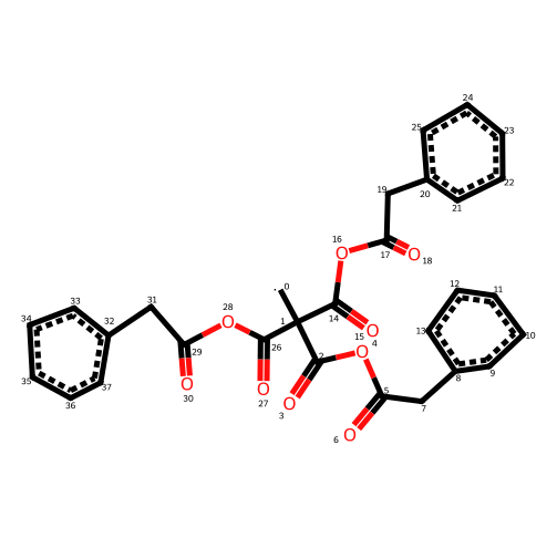 [CH2]C(C(=O)OC(=O)Cc1ccccc1)(C(=O)OC(=O)Cc1ccccc1)C(=O)OC(=O)Cc1ccccc1